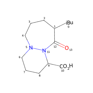 CCC(C)C1CCCN2CCCC(C(=O)O)N2C1=O